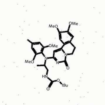 COc1cc2c(cc1OC)-c1cc(N(c3c(OC)cc(C)cc3OC)C(C)CNC(=O)OC(C)(C)C)nc(=O)n1CC2